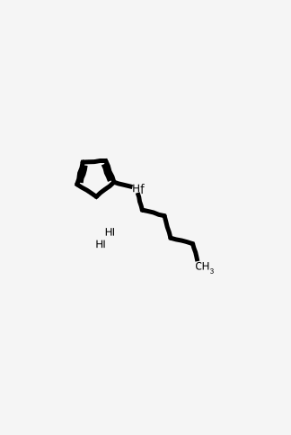 CCCC[CH2][Hf][C]1=CC=CC1.I.I